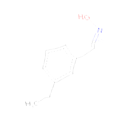 CCc1cc[c]c(/C=N\O)c1